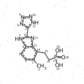 Cc1ccc2[nH]c(-c3nnn[nH]3)nc2c1CCP(=O)(O)O